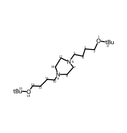 CC(C)(C)OCCCCN1CCN(CCCCOC(C)(C)C)CC1